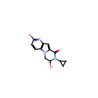 O=C1c2cc3nc(Br)ccc3n2CC(O)N1C1CC1